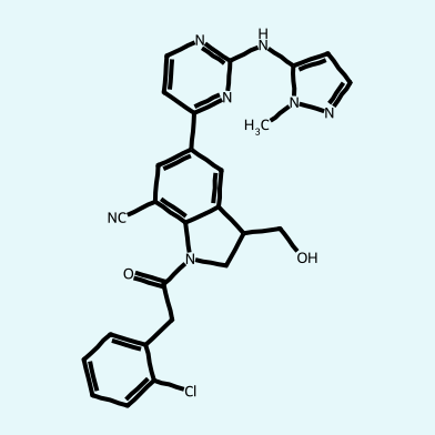 Cn1nccc1Nc1nccc(-c2cc(C#N)c3c(c2)C(CO)CN3C(=O)Cc2ccccc2Cl)n1